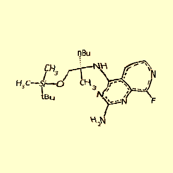 CCCC[C@](C)(CO[Si](C)(C)C(C)(C)C)Nc1nc(N)nc2c(F)nccc12